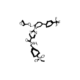 CCS(=O)(=O)c1ccc(CNC(=O)c2cnc(N3CC(c4ccc(C(F)(F)F)cc4)CC[C@H]3COC3COC3)nc2)cc1